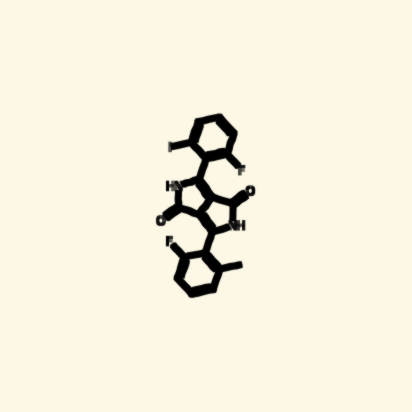 Cc1cccc(F)c1C1=C2C(=O)NC(c3c(F)cccc3I)=C2C(=O)N1